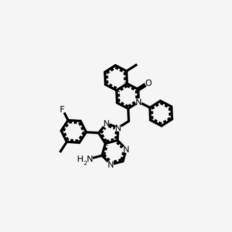 Cc1cc(F)cc(-c2nn(Cc3cc4cccc(C)c4c(=O)n3-c3ccccc3)c3ncnc(N)c23)c1